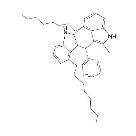 CCCCCCCCc1cccc2[nH]c(C)c(C(c3ccccc3)c3c(C)[nH]c4cccc(CCCCCCCC)c34)c12